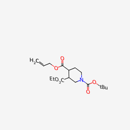 C=CCOC(=O)C1CCN(C(=O)OC(C)(C)C)CC1C(=O)OCC